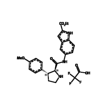 CCOC(=O)c1cc2cc(NC(=O)[C@H]3NCC[C@@H]3c3ccc(OC)cc3)ccc2[nH]1.O=C(O)C(F)(F)F